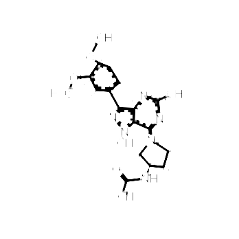 COc1ccc(-c2nn(C)c3c(N4CC[C@@H](NC(C)=O)C4)nc(C)nc23)cc1OC